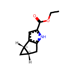 CCOC(=O)c1cc2c([nH]1)C[C@@H]1C[C@H]21